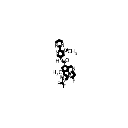 COc1cc(NC(=O)[C@H]2C[C@@](C)(c3ccn(C(F)F)n3)c3c2cnc2cc(F)nn32)cnc1-c1ncccn1